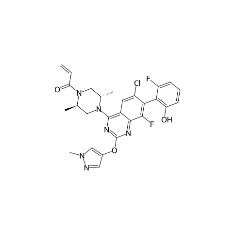 C=CC(=O)N1C[C@H](C)N(c2nc(Oc3cnn(C)c3)nc3c(F)c(-c4c(O)cccc4F)c(Cl)cc23)C[C@H]1C